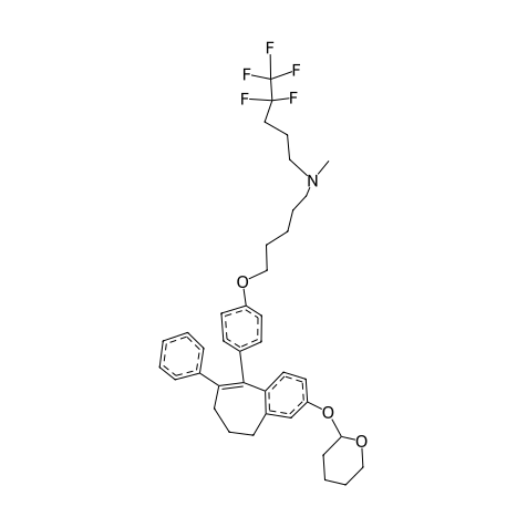 CN(CCCCCOc1ccc(C2=C(c3ccccc3)CCCc3cc(OC4CCCCO4)ccc32)cc1)CCCC(F)(F)C(F)(F)F